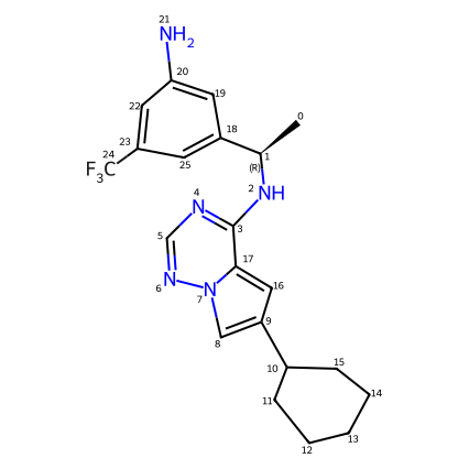 C[C@@H](Nc1ncnn2cc(C3CCCCC3)cc12)c1cc(N)cc(C(F)(F)F)c1